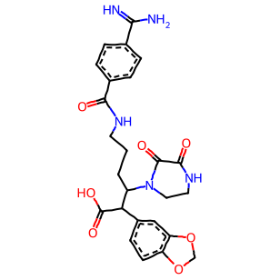 N=C(N)c1ccc(C(=O)NCCCC(C(C(=O)O)c2ccc3c(c2)OCO3)N2CCNC(=O)C2=O)cc1